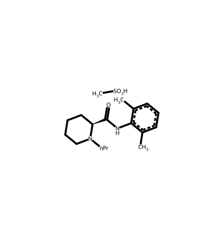 CCCN1CCCC[C@H]1C(=O)Nc1c(C)cccc1C.CS(=O)(=O)O